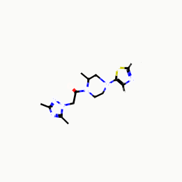 Cc1nc(C)n(CC(=O)N2CCN(c3sc(C(F)(F)F)nc3C(=O)O)CC2C)n1